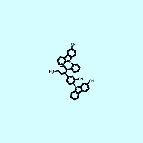 C/C=C(\C(=C/CN)c1ccc(-n2c3ccccc3c3ccc(C#N)cc32)c(C#N)c1)c1ccccc1-n1c2ccccc2c2cc(C#N)ccc21